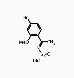 COc1cc(Br)ccc1C(C)=N[S@+]([O-])C(C)(C)C